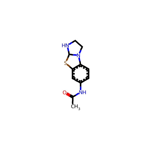 CC(=O)Nc1ccc2c(c1)SC1NCCN21